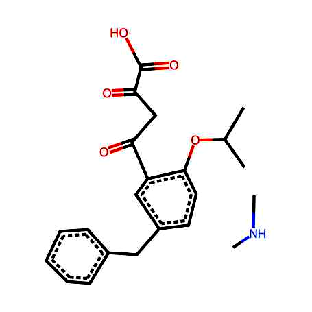 CC(C)Oc1ccc(Cc2ccccc2)cc1C(=O)CC(=O)C(=O)O.CNC